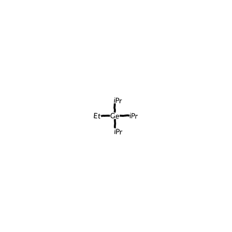 C[CH2][Ge]([CH](C)C)([CH](C)C)[CH](C)C